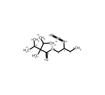 CCC(COC(=O)C(C)(C(C)C)C(C)C)N=[N+]=[N-]